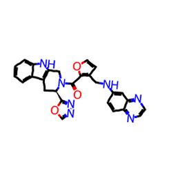 O=C(c1occc1CNc1ccc2nccnc2c1)N1Cc2[nH]c3ccccc3c2C[C@@H]1c1nnco1